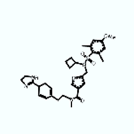 COc1cc(C)c(S(=O)(=O)N(Cc2cc(C(=O)N(C)CCC3=CCC(C4=NCCN4)C=C3)co2)C2CCC2)c(C)c1